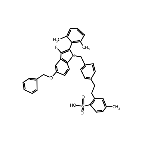 Cc1ccc(S(=O)(=O)O)c(CCc2ccc(Cn3c(-c4c(C)cccc4C)c(F)c4cc(OCc5ccccc5)ccc43)cc2)c1